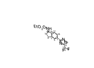 CCOC(=O)N[C@@H]1CCc2cc(-c3noc(C(F)F)n3)ccc21